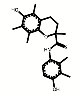 Cc1c(O)ccc(NC(=S)C2(C)CCc3c(C)c(O)c(C)c(C)c3O2)c1C